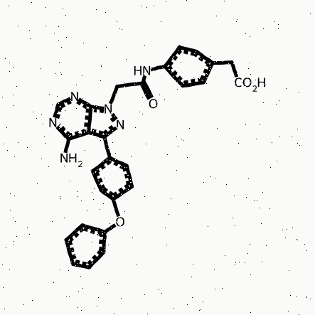 Nc1ncnc2c1c(-c1ccc(Oc3ccccc3)cc1)nn2CC(=O)Nc1ccc(CC(=O)O)cc1